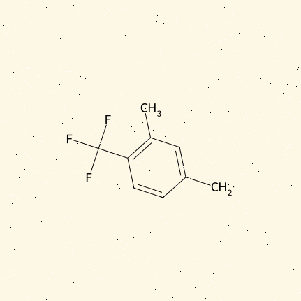 [CH2]c1ccc(C(F)(F)F)c(C)c1